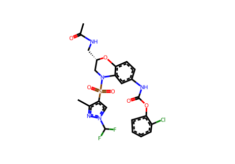 CC(=O)NC[C@H]1CN(S(=O)(=O)c2cn(C(F)F)nc2C)c2cc(NC(=O)Oc3ccccc3Cl)ccc2O1